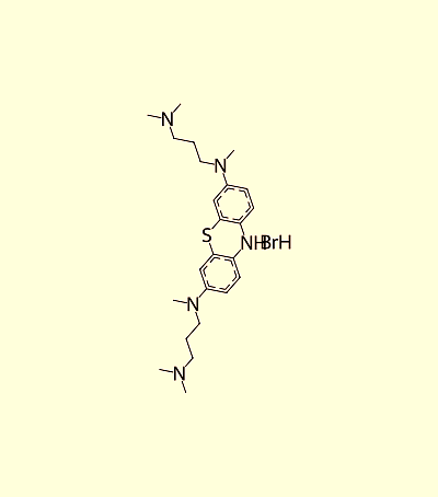 Br.CN(C)CCCN(C)c1ccc2c(c1)Sc1cc(N(C)CCCN(C)C)ccc1N2